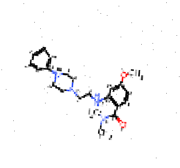 COc1ccc(C(=O)N(C)C)c(NCCN2CCN(c3ccccc3)CC2)c1